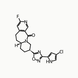 O=C1c2cnc(F)cc2CC[C@H]2CC[C@H](c3nc(-c4cc(Cl)c[nH]4)no3)CN12